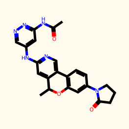 CC(=O)Nc1cc(Nc2cc3c(cn2)-c2ccc(N4CCCC4=O)cc2OC3C)cnn1